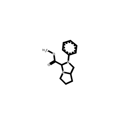 COC(=O)C1N(c2ccccc2)CC2CCCN21